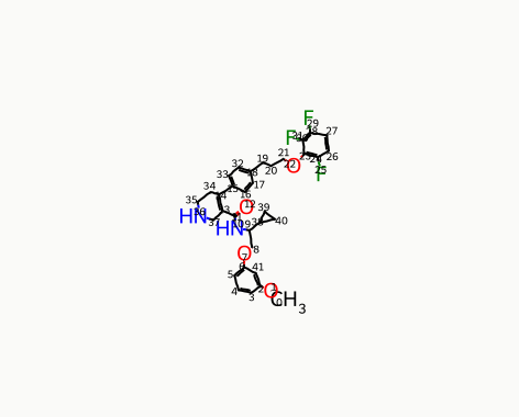 COc1cccc(OCC(NC(=O)C2=C(c3ccc(CCCOc4c(F)ccc(F)c4F)cc3)CCNC2)C2CC2)c1